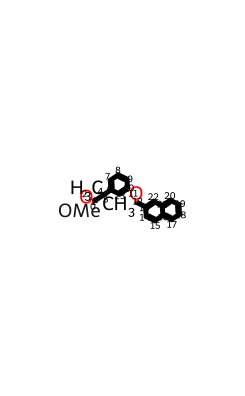 COC(=O)C(C)(C)c1cccc(OCc2ccc3ccccc3c2)c1